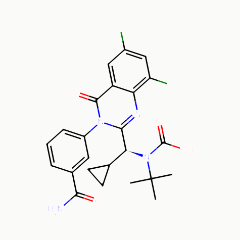 CC(C)(C)N(C(=O)O)[C@H](c1nc2c(Cl)cc(F)cc2c(=O)n1-c1cccc(C(N)=O)c1)C1CC1